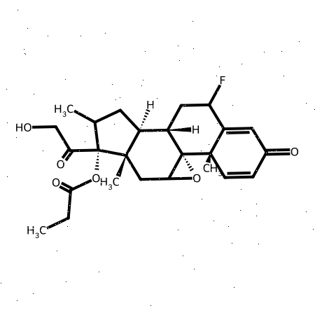 CCC(=O)O[C@]1(C(=O)CO)C(C)C[C@H]2[C@@H]3CC(F)C4=CC(=O)C=C[C@]4(C)[C@]34OC4C[C@@]21C